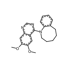 COc1cc2ncnc(N3CCCCCc4ccccc43)c2cc1OC